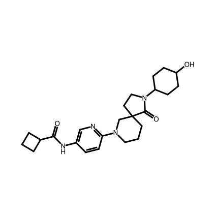 O=C(Nc1ccc(N2CCCC3(CCN(C4CCC(O)CC4)C3=O)C2)nc1)C1CCC1